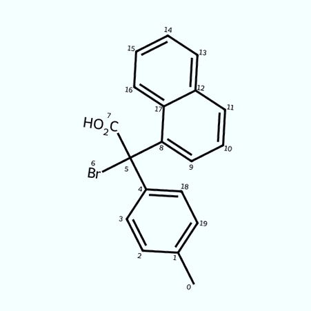 Cc1ccc(C(Br)(C(=O)O)c2cccc3ccccc23)cc1